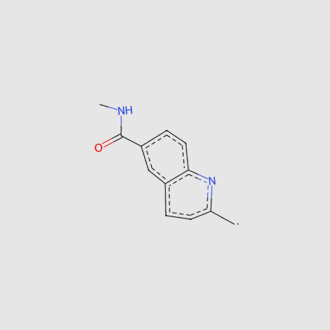 [CH2]c1ccc2cc(C(=O)NC)ccc2n1